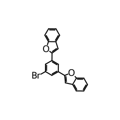 Brc1cc(-c2cc3ccccc3o2)cc(-c2cc3ccccc3o2)c1